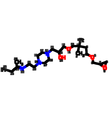 CCC(C)(CCOCC1CO1)COCC(O)CN1CCN(CC/N=C(\C)CC(C)C)CC1